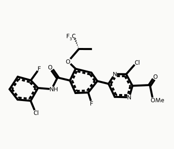 COC(=O)c1ncc(-c2cc(O[C@@H](C)C(F)(F)F)c(C(=O)Nc3c(F)cccc3Cl)cc2F)nc1Cl